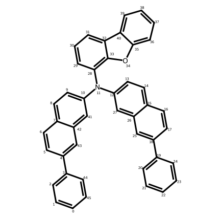 c1ccc(-c2ccc3ccc(N(c4ccc5ccc(-c6ccccc6)cc5c4)c4cccc5c4oc4ccccc45)cc3c2)cc1